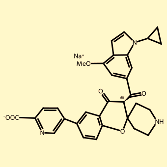 COc1cc(C(=O)[C@@H]2C(=O)c3cc(-c4ccc(C(=O)[O-])nc4)ccc3OC23CCNCC3)cc2c1ccn2C1CC1.[Na+]